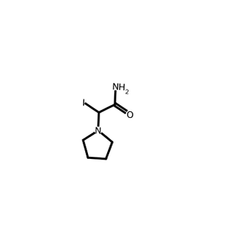 NC(=O)C(I)N1CCCC1